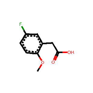 COc1ccc(F)cc1CC(=O)O